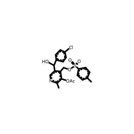 CC(=O)Oc1c(C)ncc(C(O)c2ccc(Cl)cc2)c1COS(=O)(=O)c1ccc(C)cc1